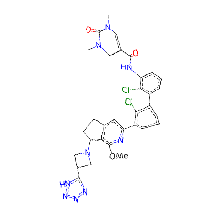 COc1nc(-c2cccc(-c3cccc(NC(=O)C4=CN(C)C(=O)N(C)C4)c3Cl)c2Cl)cc2c1C(N1CC(c3nnn[nH]3)C1)CC2